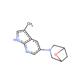 Cc1c[nH]c2ncc(N3CC4CC(C3)O4)cc12